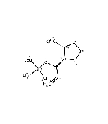 C=CC(O[Si](C)(C)C(C)(C)C)[C@@H]1OCC[C@H]1C=O